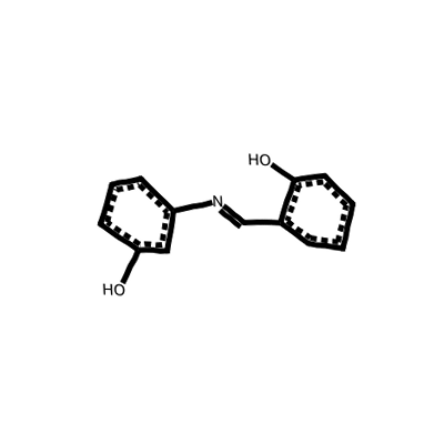 Oc1cccc(N=Cc2ccccc2O)c1